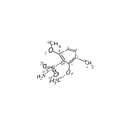 COc1ccc(C)c(OC)c1S(N)(=O)=O